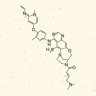 Bc1c2c(cc3ncnc(Nc4ccc(Oc5ccn(C)/c(=N\C=C)c5)c(C)c4)c13)OCC1CN2CCN1C(=O)/C=C/CN(C)C